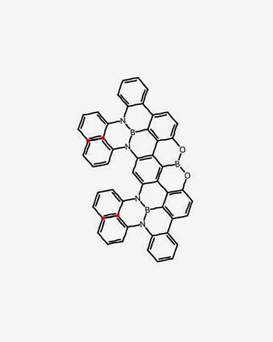 c1ccc(N2B3c4c(ccc5c4-c4c(cc6c7c4B(O5)Oc4ccc5c(c4-7)B(N(c4ccccc4)c4ccccc4-5)N6c4ccccc4)N3c3ccccc3)-c3ccccc32)cc1